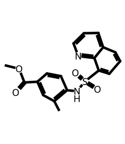 COC(=O)c1ccc(NS(=O)(=O)c2cccc3cccnc23)c(C)c1